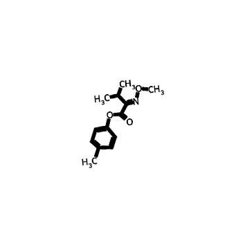 CO/N=C(/C(=O)Oc1ccc(C)cc1)C(C)C